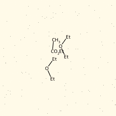 CCOC(C)=O.CCOCC.CCOCC